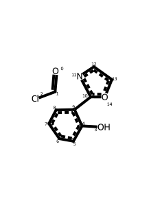 O=CCl.Oc1ccccc1-c1ncco1